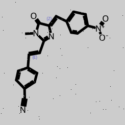 CN1C(=O)/C(=C/c2ccc([N+](=O)[O-])cc2)N=C1/C=C/c1ccc(C#N)cc1